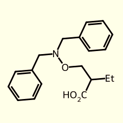 CCC(CON(Cc1ccccc1)Cc1ccccc1)C(=O)O